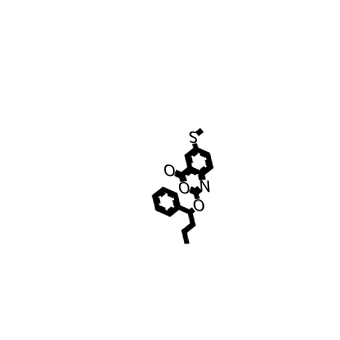 CCCC(Oc1nc2ccc(SC)cc2c(=O)o1)c1ccccc1